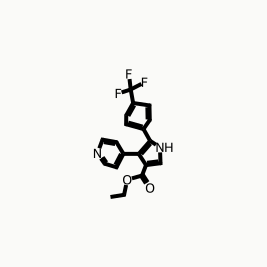 CCOC(=O)c1c[nH]c(-c2ccc(C(F)(F)F)cc2)c1-c1ccncc1